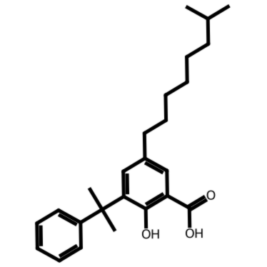 CC(C)CCCCCCc1cc(C(=O)O)c(O)c(C(C)(C)c2ccccc2)c1